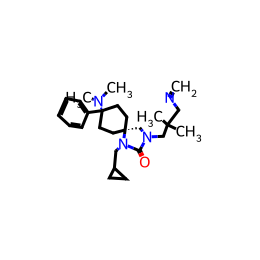 C=NCC(C)(C)CN1C[C@]2(CC[C@@](c3ccccc3)(N(C)C)CC2)N(CC2CC2)C1=O